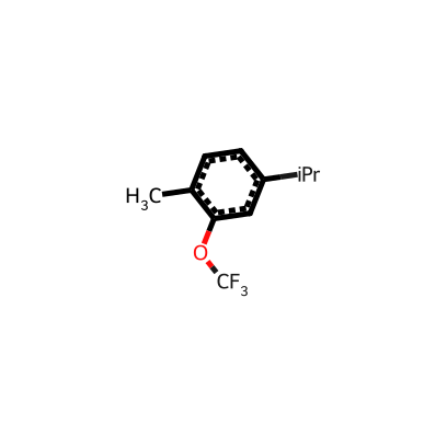 Cc1ccc(C(C)C)cc1OC(F)(F)F